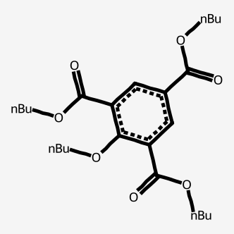 CCCCOC(=O)c1cc(C(=O)OCCCC)c(OCCCC)c(C(=O)OCCCC)c1